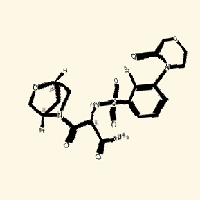 CCc1c(N2CCOCC2=O)cccc1S(=O)(=O)N[C@@H](C(N)=O)C(=O)N1C[C@@H]2C[C@H]1CO2